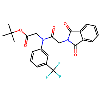 CC(C)(C)OC(=O)CN(C(=O)CN1C(=O)c2ccccc2C1=O)c1cccc(C(F)(F)F)c1